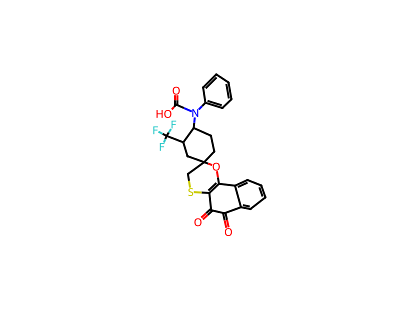 O=C1C(=O)c2ccccc2C2=C1SCC1(CCC(N(C(=O)O)c3ccccc3)C(C(F)(F)F)C1)O2